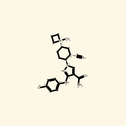 C[N+]1([C@H]2CC[C@H](n3cc(C(N)=O)c(Nc4ccc(Cl)cc4)n3)[C@@H](C#N)C2)CCC1